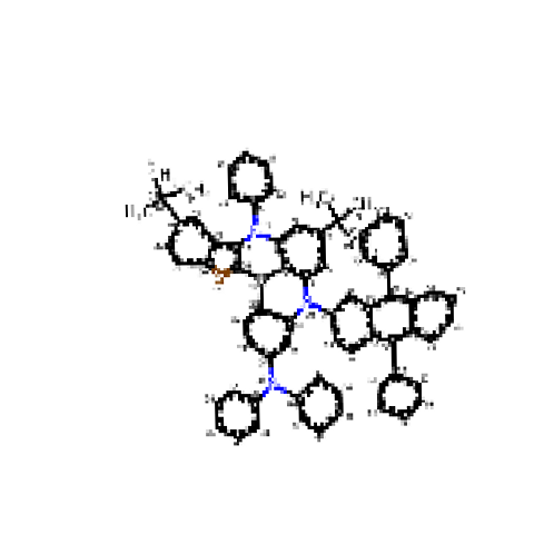 CC(C)(C)c1cc2c3c(c1)N(c1ccccc1)c1c(sc4ccc(C(C)(C)C)cc14)B3c1ccc(N(c3ccccc3)c3ccccc3)cc1N2c1ccc2c(-c3ccccc3)c3ccccc3c(-c3ccccc3)c2c1